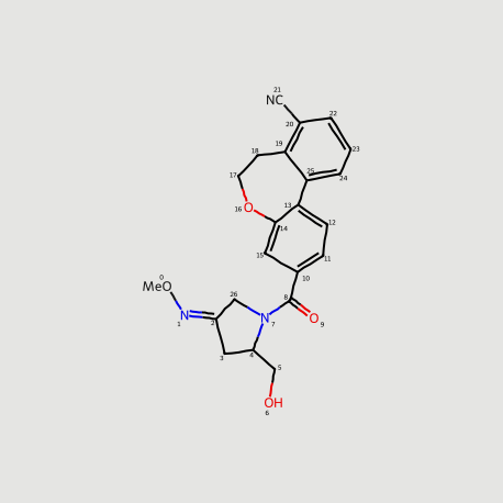 CO/N=C1/CC(CO)N(C(=O)c2ccc3c(c2)OCCc2c(C#N)cccc2-3)C1